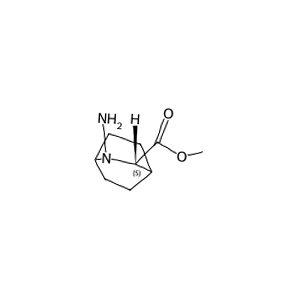 COC(=O)[C@@H]1C2CCC(CC2)N1N